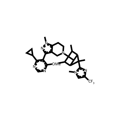 COc1ncnc(C2CC2)c1-c1nn(C)c2c1CN(C13C(C)C4C1C(C3C)C4(C)c1nc(C(F)(F)F)cn1C)CC2